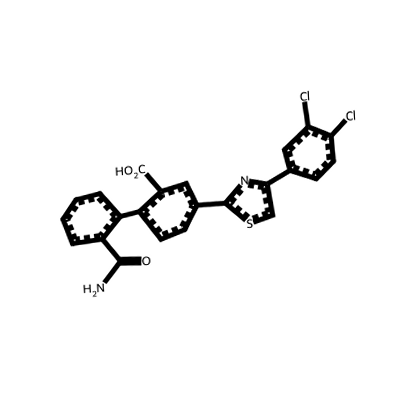 NC(=O)c1ccccc1-c1ccc(-c2nc(-c3ccc(Cl)c(Cl)c3)cs2)cc1C(=O)O